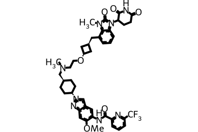 COc1cc2nn([C@H]3CC[C@H](CN(C)CCO[C@H]4C[C@H](Cc5cccc6c5n(C)c(=O)n6C5CCC(=O)NC5=O)C4)CC3)cc2cc1NC(=O)c1cccc(C(F)(F)F)n1